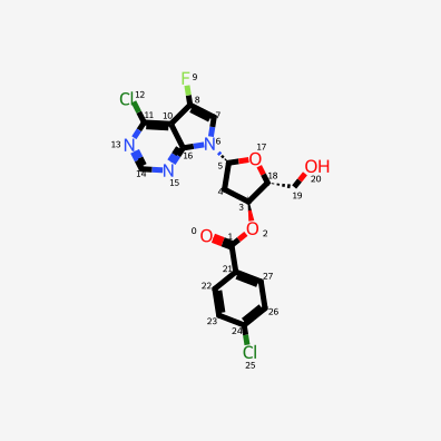 O=C(O[C@H]1C[C@H](n2cc(F)c3c(Cl)ncnc32)O[C@@H]1CO)c1ccc(Cl)cc1